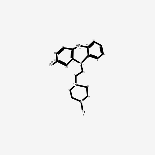 CCN1CCN(CCN2c3ccccc3Pc3ccc(Br)cc32)CC1